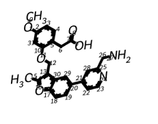 COc1ccc(CC(=O)O)c(OCc2c(C)oc3ccc(-c4ccnc(CN)c4)cc23)c1